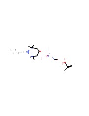 C=C(C)C(=O)OCCNC(=O)OC1CC(C)(C)N(OC)C(C)(C)C1